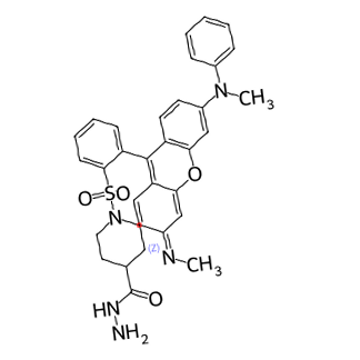 C/N=c1/ccc2c(-c3ccccc3S(=O)(=O)N3CCC(C(=O)NN)CC3)c3ccc(N(C)c4ccccc4)cc3oc-2c1